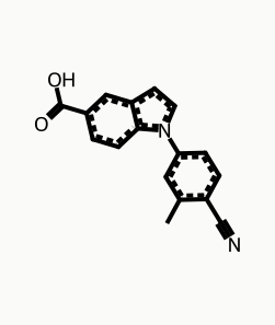 Cc1cc(-n2ccc3cc(C(=O)O)ccc32)ccc1C#N